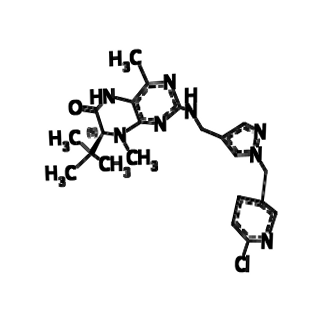 Cc1nc(NCc2cnn(Cc3ccc(Cl)nc3)c2)nc2c1NC(=O)[C@H](C(C)(C)C)N2C